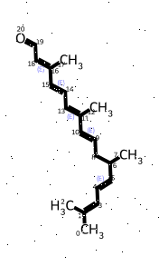 CC(C)=C/C=C/C(C)C/C=C/C(C)=C/C=C/C(C)=C/C=O